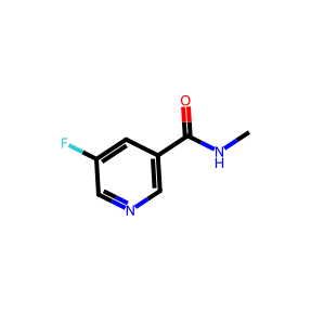 CNC(=O)c1cncc(F)c1